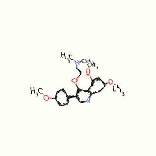 COc1ccc(-c2cnc3cc(OC)cc(OC)c3c2OCCN(C)C)cc1